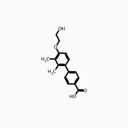 Cc1c(OCCO)ccc(-c2ccc(C(=O)O)cc2)c1C